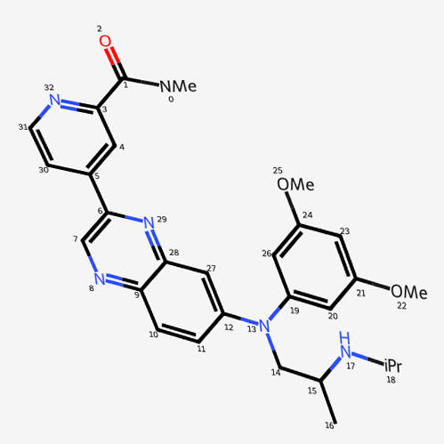 CNC(=O)c1cc(-c2cnc3ccc(N(CC(C)NC(C)C)c4cc(OC)cc(OC)c4)cc3n2)ccn1